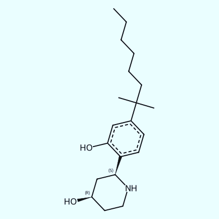 CCCCCCC(C)(C)c1ccc([C@@H]2C[C@H](O)CCN2)c(O)c1